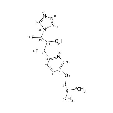 CC(C)COc1ccc(C(F)C(O)C(F)n2cnnn2)nc1